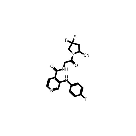 N#CC1CC(F)(F)CN1C(=O)CNC(=O)c1ccncc1Nc1ccc(F)cc1